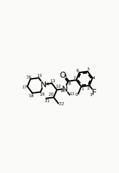 Cc1c(F)cccc1C(=O)N(C)C(CN1CCCCC1)C(C)C